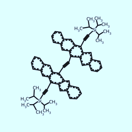 CC(C)[Si](C#Cc1c2cc3ccccc3cc2c(C#Cc2c3cc4ccccc4cc3c(C#C[Si](C(C)C)(C(C)C)C(C)C)c3cc4ccccc4cc23)c2cc3ccccc3cc12)(C(C)C)C(C)C